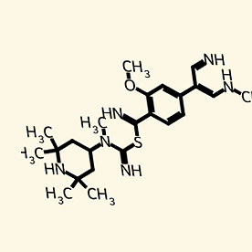 CN/C=C(\C=N)c1ccc(C(=N)SC(=N)N(C)C2CC(C)(C)NC(C)(C)C2)c(OC)c1